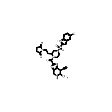 CC1NCc2sc(C(=O)N3CCN(S(=O)(=O)c4cc5cc(Cl)ccc5[nH]4)CC3CCN3C(=O)CCC3=O)nc2C1C#N